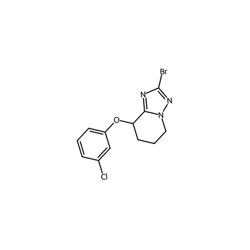 Clc1cccc(OC2CCCn3nc(Br)nc32)c1